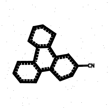 N#Cc1[c]c2c3ccccc3c3ccccc3c2cc1